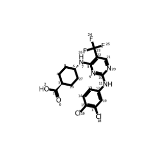 O=C(O)[C@H]1CC[C@H](Nc2nc(Nc3ccc(Cl)c(Cl)c3)ncc2C(F)(F)F)CC1